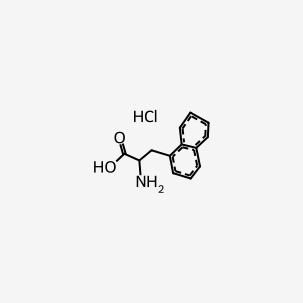 Cl.NC(Cc1cccc2ccccc12)C(=O)O